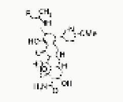 COc1ccc(-c2cc(CNC(C)CF)c(O)c3c2C[C@H]2C[C@H]4CC(O)=C(C(N)=O)C(=O)[C@@]4(O)C(O)=C2C3=O)cn1